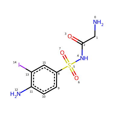 NCC(=O)NS(=O)(=O)c1ccc(N)c(I)c1